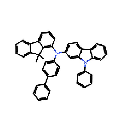 CC1(C)c2ccccc2-c2cccc(N(c3ccc(-c4ccccc4)cc3)c3ccc4c5ccccc5n(-c5ccccc5)c4c3)c21